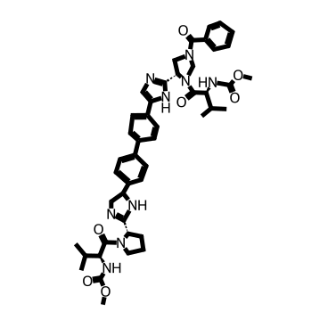 COC(=O)N[C@H](C(=O)N1CCC[C@H]1C1=NCC(c2ccc(-c3ccc(-c4cnc([C@@H]5CN(C(=O)c6ccccc6)CN5C(=O)[C@@H](NC(=O)OC)C(C)C)[nH]4)cc3)cc2)N1)C(C)C